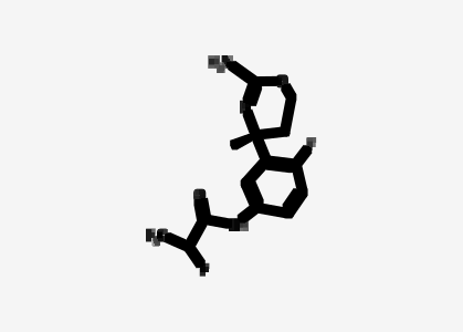 C[C@]1(c2cc(NC(=O)C(F)C(F)(F)F)ccc2F)CCOC(N)=N1